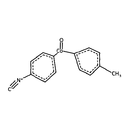 [C-]#[N+]c1cc[c]([Co](=[O])[c]2ccc(C)cc2)cc1